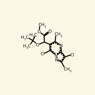 COC(=O)C(OC(C)(C)C)c1c(C)nc2c(Cl)c(C)nn2c1Cl